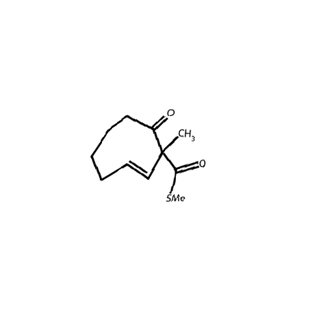 CSC(=O)C1(C)/C=C/CCCCC1=O